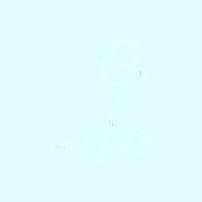 COc1ccc2c3ccccc3n(CC(=O)N3CC[C@H]4CCCC[C@H]4C3)c2c1